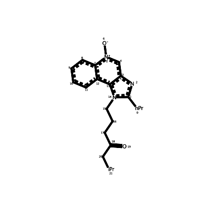 CCCc1nc2c[n+]([O-])c3ccccc3c2n1CCCC(=O)CC(C)C